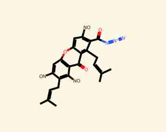 CC(C)=CCc1c(N=O)cc2oc3cc(N=O)c(C(=O)N=[N+]=[N-])c(CC=C(C)C)c3c(=O)c2c1N=O